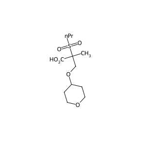 CCCS(=O)(=O)C(C)(COC1CCOCC1)C(=O)O